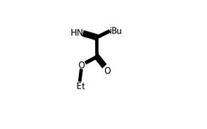 CCOC(=O)C(=N)C(C)CC